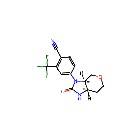 N#Cc1ccc(N2C(=O)N[C@H]3CCOC[C@@H]32)cc1C(F)(F)F